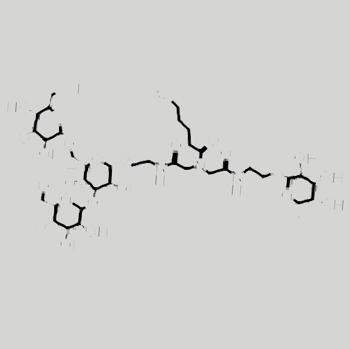 CC(=O)CCCCC(=O)N(CC(=O)NCCO[C@@H]1O[C@@H](C)[C@@H](O)[C@@H](O)[C@@H]1O)CC(=O)NCCO[C@H]1O[C@H](CO[C@H]2O[C@H](CO)[C@@H](O)[C@H](O)[C@@H]2O)[C@@H](O)[C@H](OC2O[C@H](CO)[C@@H](O)[C@H](O)[C@@H]2O)[C@@H]1O